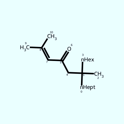 CCCCCCCC(C)(CCCCCC)CC(=O)C=C(C)C